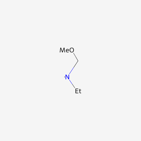 CC[N]COC